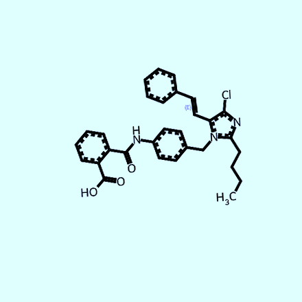 CCCCc1nc(Cl)c(/C=C/c2ccccc2)n1Cc1ccc(NC(=O)c2ccccc2C(=O)O)cc1